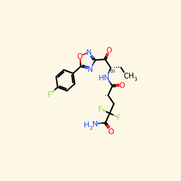 CC[C@H](NC(=O)[CH]CC(F)(F)C(N)=O)C(=O)c1noc(-c2ccc(F)cc2)n1